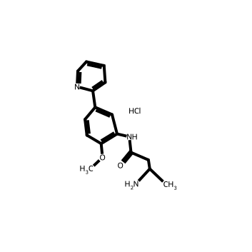 COc1ccc(-c2ccccn2)cc1NC(=O)CC(C)N.Cl